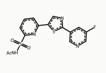 CC(=O)NS(=O)(=O)c1cccc(-c2cnc(-c3cncc(F)c3)s2)n1